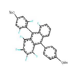 COc1ccc(-c2c3cccc(F)c3c(-c3c(F)cc(OC)cc3F)c3c(F)c(F)c(F)c(F)c23)cc1